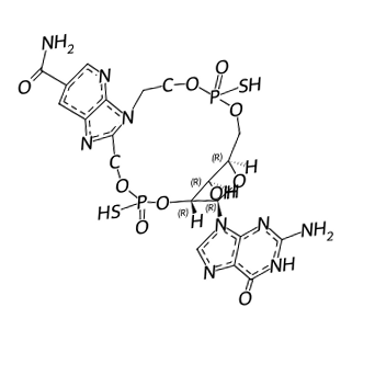 NC(=O)c1cnc2c(c1)nc1n2CCOP(=O)(S)OC[C@H]2O[C@@H](n3cnc4c(=O)[nH]c(N)nc43)[C@H](OP(=O)(S)OC1)[C@@H]2O